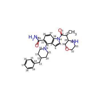 CC(C(=O)n1ccc2c(N3CCC(Cc4ccccc4)CC3)c(C(N)=O)ccc21)C1COCCN1